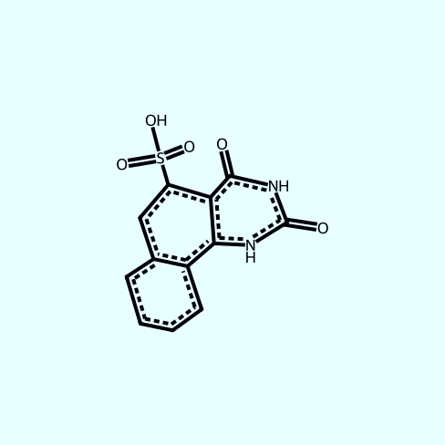 O=c1[nH]c(=O)c2c(S(=O)(=O)O)cc3ccccc3c2[nH]1